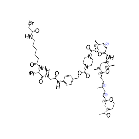 CC(/C=C/[C@@H]1C[C@]2(CCO1)OC2C)=C\C[C@@H]1O[C@H](C)[C@H](NC(=O)/C=C\[C@H](C)OC(=O)N2CCN(C(=O)OCc3ccc(NC(=O)CNC(=O)C(NC(=O)CCCCCNC(=O)CBr)C(C)C)cc3)CC2)C[C@@H]1C